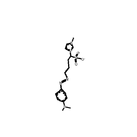 CN(C)c1ccc(/N=N/CCCC([n+]2ccn(C)c2)S(=O)(=O)[O-])cc1